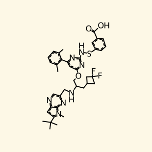 Cc1cccc(C)c1-c1cc(OCC(CC2CC(F)(F)C2)NCc2cnc3cc(C(C)(C)C)n(C)c3n2)nc(NSc2cccc(C(=O)O)c2)n1